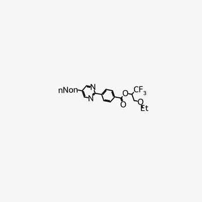 CCCCCCCCCc1cnc(-c2ccc(C(=O)OC(COCC)C(F)(F)F)cc2)nc1